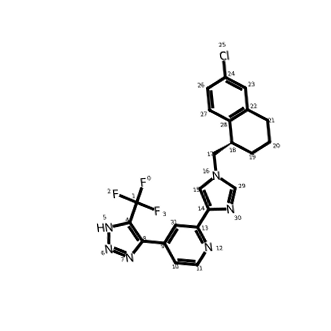 FC(F)(F)c1[nH]nnc1-c1ccnc(-c2cn(C[C@@H]3CCCc4cc(Cl)ccc43)cn2)c1